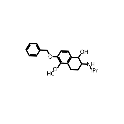 CC(C)NC1CCc2c(ccc(OCc3ccccc3)c2Cl)C1O.Cl